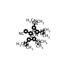 Cc1nc(C)nc(-c2ccc3c(c2)c2cc(-c4nc(C)nc(C)n4)ccc2n3-c2cc(-c3cccc(C#N)c3)cc(-n3c4ccc(-c5nc(C)nc(C)n5)cc4c4cc(-c5nc(C)nc(C)n5)ccc43)c2C#N)n1